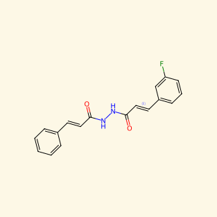 O=C(C=Cc1ccccc1)NNC(=O)/C=C/c1cccc(F)c1